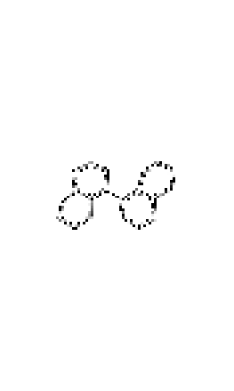 [c]1ccc2ccccc2c1-c1[c]ccc2ccccc12